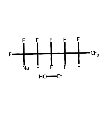 CCO.FC(F)(F)C(F)(F)C(F)(F)C(F)(F)C(F)(F)[C](F)(F)[Na]